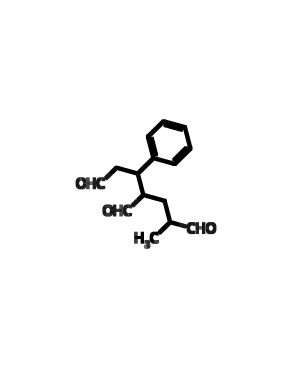 CC(C=O)CC(C=O)C(CC=O)c1ccccc1